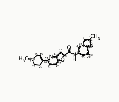 Cc1cn2cc(NC(=O)c3cc4nc(C5=CCN(C)CC5)ccc4o3)cc(F)c2n1